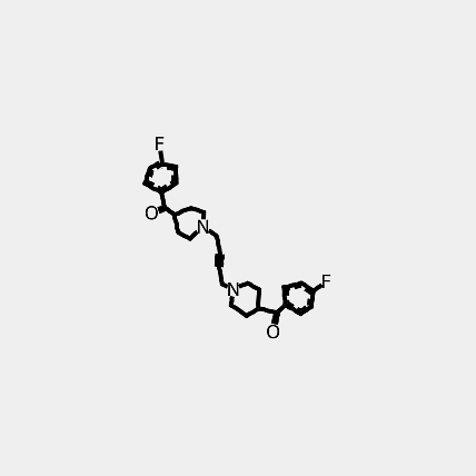 O=C(c1ccc(F)cc1)C1CCN(CC#CCN2CCC(C(=O)c3ccc(F)cc3)CC2)CC1